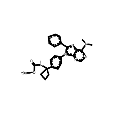 CN(C)c1ncnc2c1nc(-c1ccccc1)n2-c1ccc(C2(NC(=O)OC(C)(C)C)CCC2)cc1